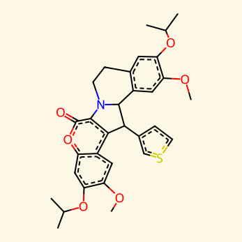 COc1cc2c(cc1OC(C)C)CCN1c3c(c4cc(OC)c(OC(C)C)cc4oc3=O)C(c3ccsc3)C21